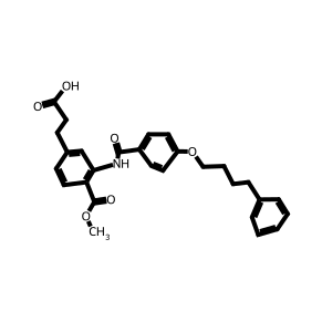 COC(=O)c1ccc(CCC(=O)O)cc1NC(=O)c1ccc(OCCCCc2ccccc2)cc1